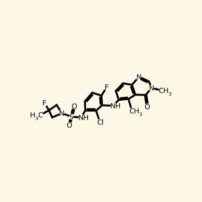 Cc1c(Nc2c(F)ccc(NS(=O)(=O)N3CC(C)(F)C3)c2Cl)ccc2ncn(C)c(=O)c12